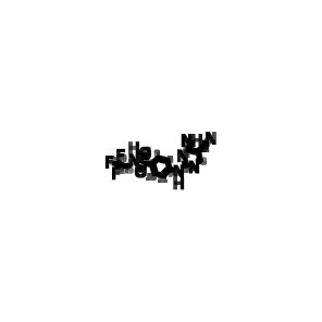 N#Cc1cnc(Nc2ccc(S(=O)(=O)NCC(F)(F)F)cc2)nc1N